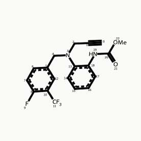 C#CCN(Cc1ccc(F)c(C(F)(F)F)c1)c1ccccc1NC(=O)OC